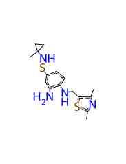 Cc1nc(C)c(CNc2ccc(SNC3(C)CC3)cc2N)s1